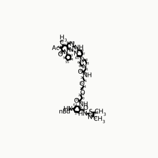 CCCCNc1ccc(C(=O)Nc2nc(C)c(C)s2)c(NC(=O)CCOCCOCCNC(=O)CN2CCN(c3ccc(Nc4ncc5c(C)c(C(C)=O)c(=O)n(C6CCCC6)c5n4)nc3)CC2)c1